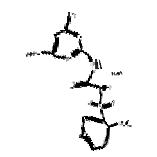 COc1cc(C(F)(F)F)nc(NC(=O)NS(=O)(=O)c2ccccc2[N+](=O)[O-])n1.[NaH]